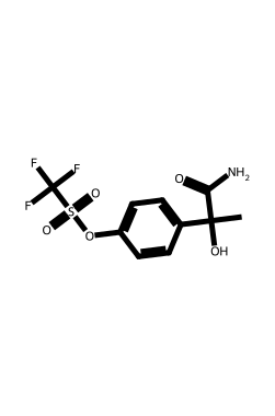 CC(O)(C(N)=O)c1ccc(OS(=O)(=O)C(F)(F)F)cc1